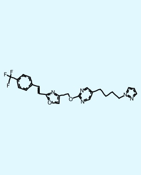 FC(F)(F)c1ccc(/C=C/c2nc(COc3ncc(CCCCn4cccn4)cn3)co2)cc1